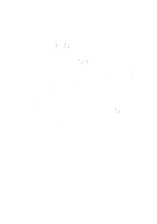 CCCOc1nccc(C(=O)c2ccccc2F)c1C(=O)NN